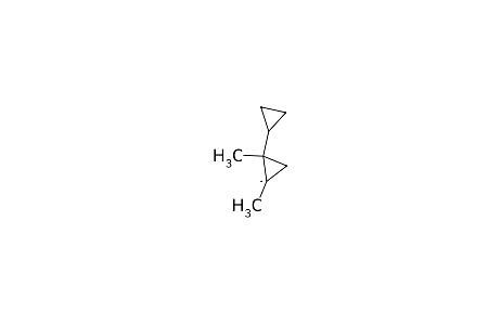 C[C]1CC1(C)C1CC1